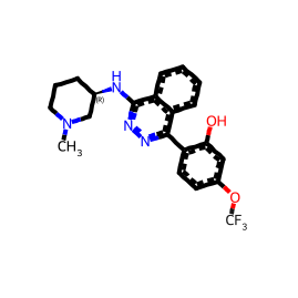 CN1CCC[C@@H](Nc2nnc(-c3ccc(OC(F)(F)F)cc3O)c3ccccc23)C1